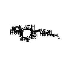 CC[C@H]1OC(=O)[C@@](C)(F)C(=O)[C@H](C)[C@@H](O[C@@H]2O[C@H](C)CC(N(C)C)C2O)[C@](C)(OC)C[C@@H](C)C(=O)[C@H](C)[C@@H](NCC#CCn2cc(-c3cnc(N)s3)nn2)[C@]1(C)O